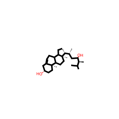 CC(C)[C@H](C)[C@@H](O)C[C@@H](C)[C@H]1CCC2C3CC=C4C[C@@H](O)CC[C@]4(C)C3CC[C@@]21C